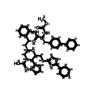 COC(=O)N[C@@H](Cc1ccc(-c2ccccc2)cc1)C(=O)Nc1ccccc1CC[C@@H]1CN(C(=O)O)C(c2ncc[nH]2)C(CSc2nnc(-c3ccncc3)o2)O1